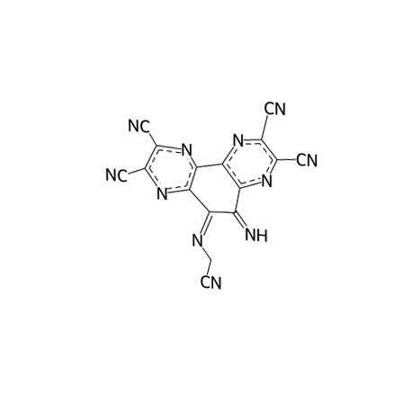 N#CC/N=C1\C(=N)c2nc(C#N)c(C#N)nc2-c2nc(C#N)c(C#N)nc21